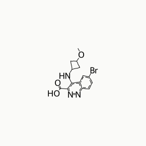 COC1CC(Nc2c(C(=O)O)nnc3ccc(Br)cc23)C1